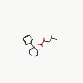 CC(C)CC(=O)C(=O)OC1(c2ccccc2)CCNCC1